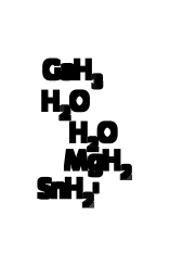 O.O.[GaH3].[MgH2].[SnH2]